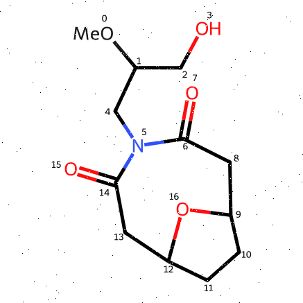 COC(CO)CN1C(=O)CC2CCC(CC1=O)O2